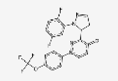 O=c1ccn(-c2ccc(OC(F)(F)F)cc2)nc1C1CC=NN1c1cc(F)ccc1F